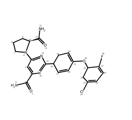 NC(=O)c1cc(N2CCC[C@H]2C(N)=O)nc(C2C=CC(OC3CC(Cl)=CC=C3F)=CC2)n1